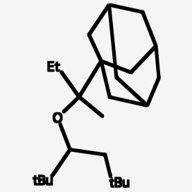 CCC(C)(OC(CC(C)(C)C)C(C)(C)C)C12CC3CC(CC(C3)C1)C2